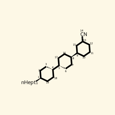 CCCCCCC[C@H]1CC[C@H]([C@H]2CC[C@H](C3CCCC(C#N)C3)CC2)CC1